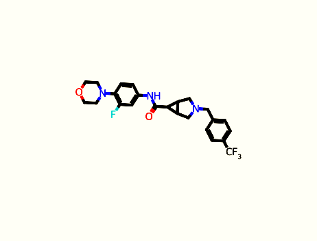 O=C(Nc1ccc(N2CCOCC2)c(F)c1)C1C2CN(Cc3ccc(C(F)(F)F)cc3)CC21